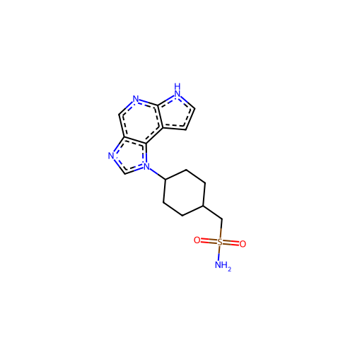 NS(=O)(=O)CC1CCC(n2cnc3cnc4[nH]ccc4c32)CC1